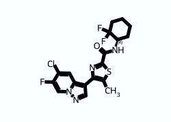 Cc1sc(C(=O)N[C@@H]2CCCCC2(F)F)nc1-c1cnn2cc(F)c(Cl)cc12